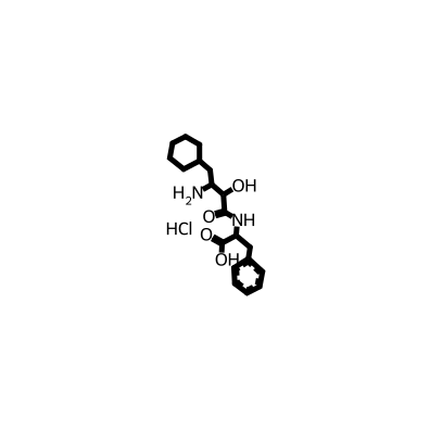 Cl.NC(CC1CCCCC1)C(O)C(=O)NC(Cc1ccccc1)C(=O)O